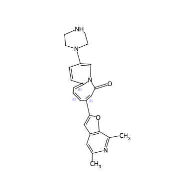 Cc1cc2cc(C3=C\C(=O)N4C=C(N5CCNCC5)C=C\C4=C/C=C/3)oc2c(C)n1